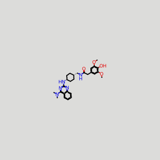 COc1cc(CC(=O)NC[C@H]2CC[C@@H](Nc3nc(N(C)C)c4ccccc4n3)CC2)cc(OC)c1O